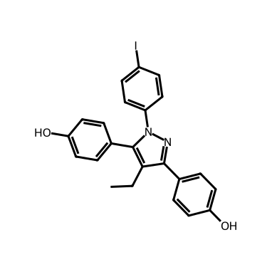 CCc1c(-c2ccc(O)cc2)nn(-c2ccc(I)cc2)c1-c1ccc(O)cc1